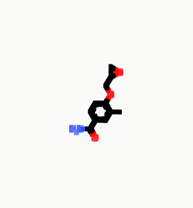 Cc1cc(C(N)=O)ccc1OCC1CO1